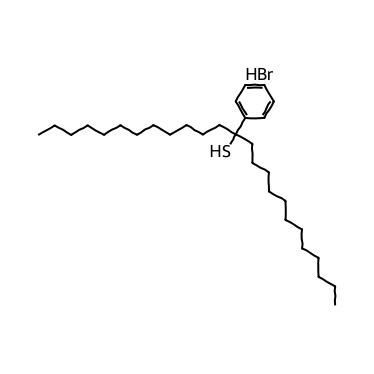 Br.CCCCCCCCCCCCC(S)(CCCCCCCCCCCC)c1ccccc1